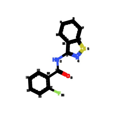 O=C(Nc1nsc2ccccc12)c1ccccc1F